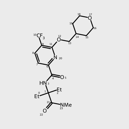 CCC(CC)(NC(=O)c1ccc(C(F)(F)F)c(OCC2CCOCC2)n1)C(=O)NC